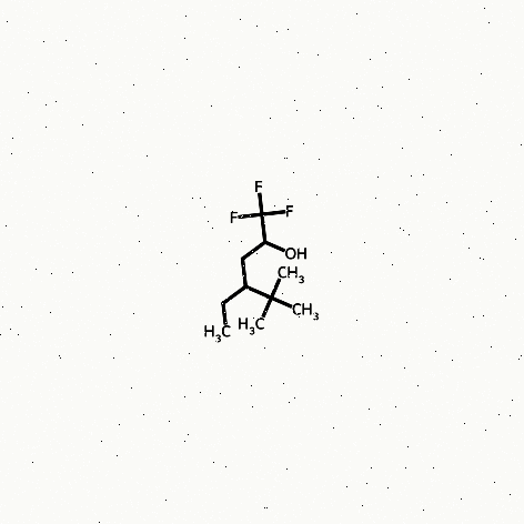 CCC(CC(O)C(F)(F)F)C(C)(C)C